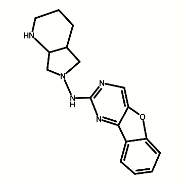 c1ccc2c(c1)oc1cnc(NN3CC4CCCNC4C3)nc12